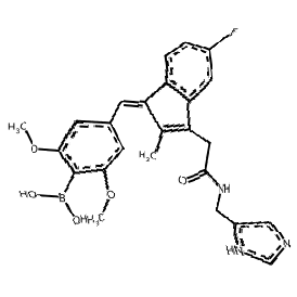 COc1cc(C=C2C(C)=C(CC(=O)NCc3cnc[nH]3)c3cc(F)ccc32)cc(OC)c1B(O)O